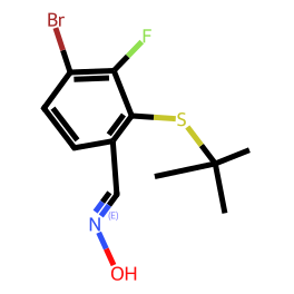 CC(C)(C)Sc1c(/C=N/O)ccc(Br)c1F